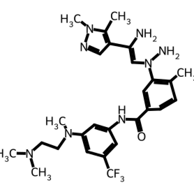 Cc1ccc(C(=O)Nc2cc(N(C)CCN(C)C)cc(C(F)(F)F)c2)cc1N(N)/C=C(\N)c1cnn(C)c1C